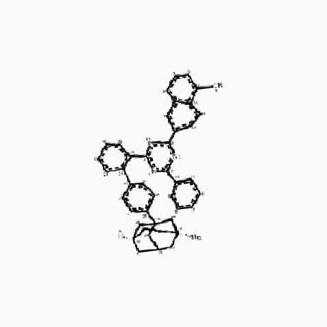 N#Cc1cccc2cc(-c3nc(-c4ccccc4)nc(-c4ccccc4-c4ccc(C56CC7C[C@H](C5)C[C@@H](C7)C6)cc4)n3)ccc12